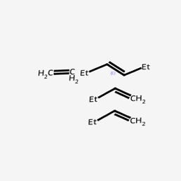 C=C.C=CCC.C=CCC.CC/C=C/CC